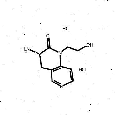 Cl.Cl.NC1Cc2cnccc2N(CCO)C1=O